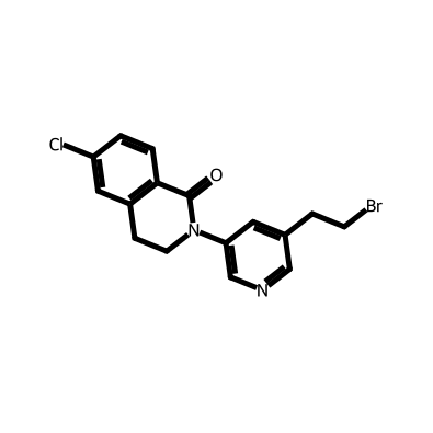 O=C1c2ccc(Cl)cc2CCN1c1cncc(CCBr)c1